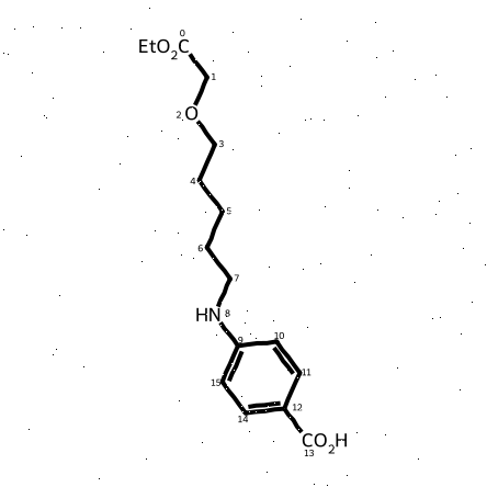 CCOC(=O)COCCCCCNc1ccc(C(=O)O)cc1